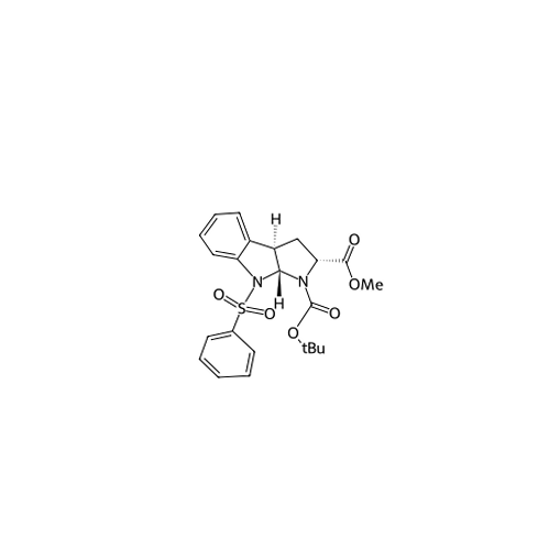 COC(=O)[C@H]1C[C@@H]2c3ccccc3N(S(=O)(=O)c3ccccc3)[C@H]2N1C(=O)OC(C)(C)C